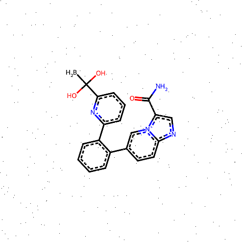 BC(O)(O)c1cccc(-c2ccccc2-c2ccc3ncc(C(N)=O)n3c2)n1